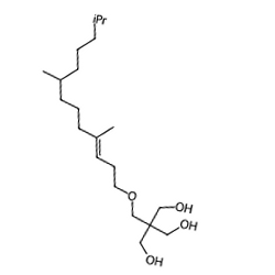 C/C(=C\CCOCC(CO)(CO)CO)CCCC(C)CCCC(C)C